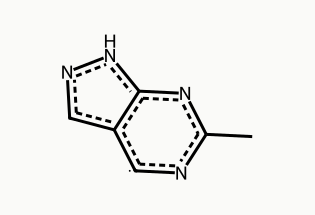 Cc1n[c]c2cn[nH]c2n1